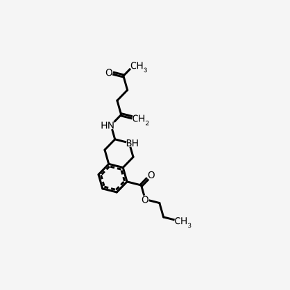 C=C(CCC(C)=O)NC1BCc2c(cccc2C(=O)OCCC)C1